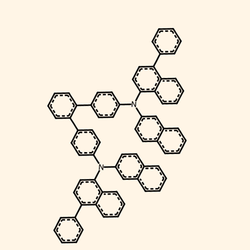 c1ccc(-c2ccc(N(c3ccc(-c4ccccc4-c4ccc(N(c5ccc6ccccc6c5)c5ccc(-c6ccccc6)c6ccccc56)cc4)cc3)c3ccc4ccccc4c3)c3ccccc23)cc1